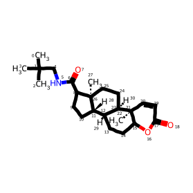 CC(C)(C)CNC(=O)C1CC[C@H]2[C@@H]3CCC4OC(=O)C=C[C@]4(C)[C@@H]3CC[C@]12C